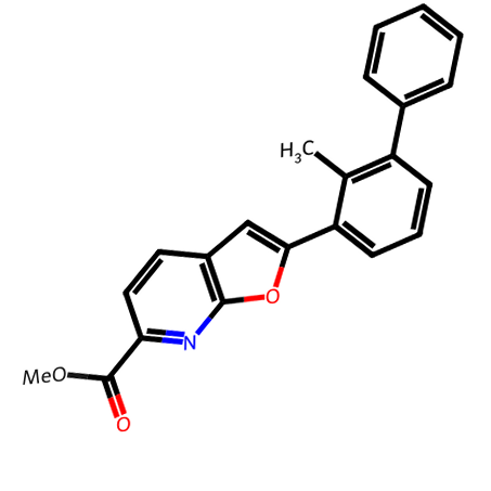 COC(=O)c1ccc2cc(-c3cccc(-c4ccccc4)c3C)oc2n1